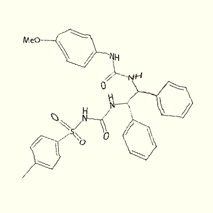 COc1ccc(NC(=O)NC(c2ccccc2)C(NC(=O)NS(=O)(=O)c2ccc(C)cc2)c2ccccc2)cc1